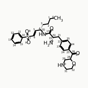 CCCC[C@@H](C=CS(=O)(=O)c1ccccc1)NC(=O)[C@@H](N)Cc1ccc(C(=O)C2CNCCO2)cc1